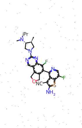 CC(C)N(C)[C@H]1CN(c2ncc3c4c(c(-c5ncc(F)c6sc(N)c(C#N)c56)c(F)c3n2)COC4)C[C@@H]1C